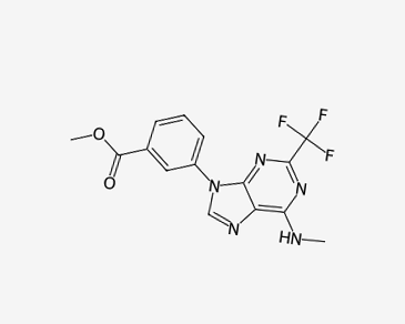 CNc1nc(C(F)(F)F)nc2c1ncn2-c1cccc(C(=O)OC)c1